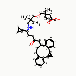 CC(C)(CNC(CCC(=O)CC1CCc2ccccc2C2=CC2c2ccccc21)=C1CC1)COCC(C)(C)CC(=O)O